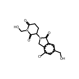 O=C1CCC(N2Cc3c(Cl)cc(CO)cc3C2=O)C(=O)N1CO